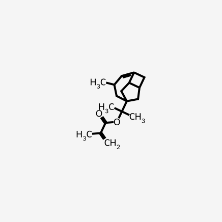 C=C(C)C(=O)OC(C)(C)C12CC(C)C=C3CC(C1)C3C2